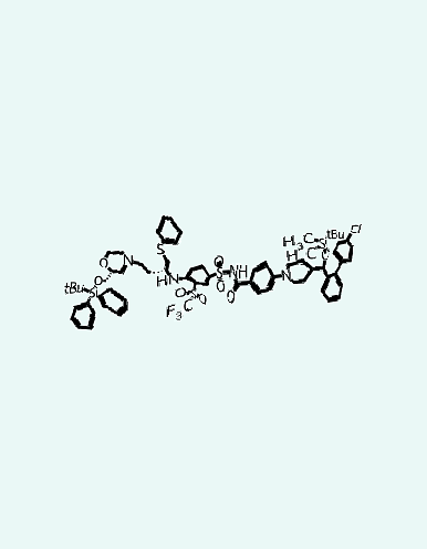 CC(C)(C)[Si](C)(C)OC(c1ccccc1-c1ccc(Cl)cc1)C1CCN(c2ccc(C(=O)NS(=O)(=O)c3ccc(N[C@H](CCN4CCO[C@@H](CO[Si](c5ccccc5)(c5ccccc5)C(C)(C)C)C4)CSc4ccccc4)c(S(=O)(=O)C(F)(F)F)c3)cc2)CC1